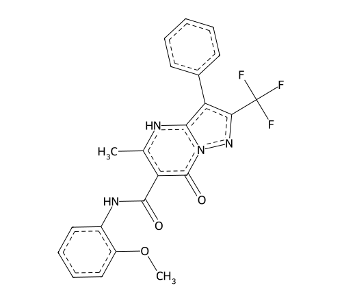 COc1ccccc1NC(=O)c1c(C)[nH]c2c(-c3ccccc3)c(C(F)(F)F)nn2c1=O